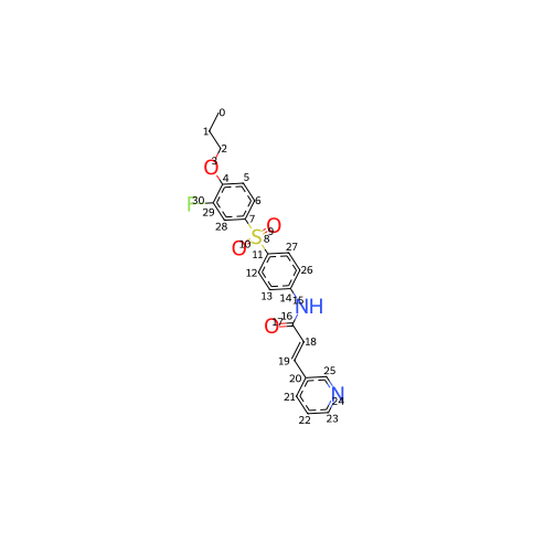 CCCOc1ccc(S(=O)(=O)c2ccc(NC(=O)C=Cc3cccnc3)cc2)cc1F